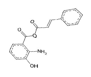 Nc1c(O)cccc1C(=O)OC(=O)C=Cc1ccccc1